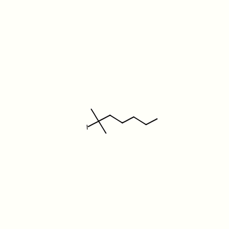 CCCCCC(C)(C)I